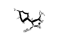 CCCCn1nnc(C)c1-c1ccc(F)cc1